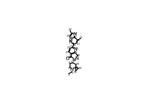 CCN1CC[C@H](n2ncc3nc(-c4cc(C)c5nc(C)cn5n4)ccc3c2=O)CC12CC2